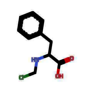 O=C(O)C(Cc1ccccc1)NCCl